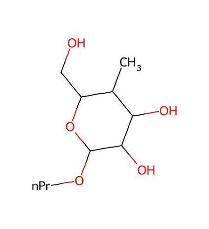 CCCOC1OC(CO)C(C)C(O)C1O